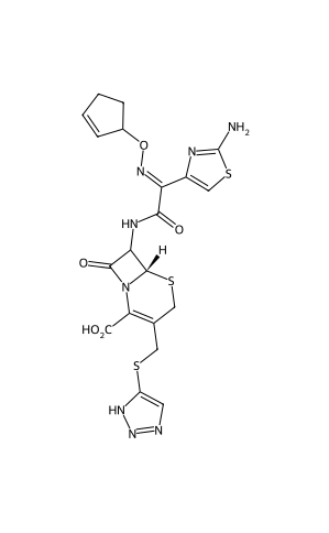 Nc1nc(C(=NOC2C=CCC2)C(=O)NC2C(=O)N3C(C(=O)O)=C(CSc4cnn[nH]4)CS[C@@H]23)cs1